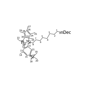 CCCCCCCCCCCCCCCCCC[Si](C)(c1cc(C)cc([Si](C)(C)C)c1)C1(C)C(C)=C(C)C(C)=[C]1[Ti]([CH3])[CH3]